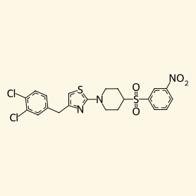 O=[N+]([O-])c1cccc(S(=O)(=O)C2CCN(c3nc(Cc4ccc(Cl)c(Cl)c4)cs3)CC2)c1